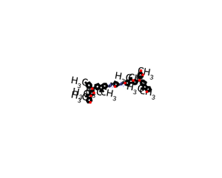 Cc1ccc(N(c2ccc3c(c2)C(C)(C)c2ccccc2-3)c2ccc3c(c2)C(C)(C)c2cc(/C=C/c4ccc(/C=C/c5ccc6c(c5)C(C)(C)c5cc(N(c7ccc(C)cc7)c7ccc8c(c7)C(C)(C)c7ccccc7-8)ccc5-6)cc4)ccc2-3)cc1